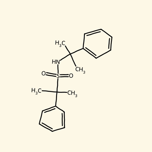 CC(C)(NS(=O)(=O)C(C)(C)c1ccccc1)c1ccccc1